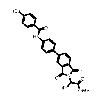 COC(=O)C(C(C)C)N1C(=O)c2ccc(-c3ccc(NC(=O)c4ccc(C(C)(C)C)cc4)cc3)cc2C1=O